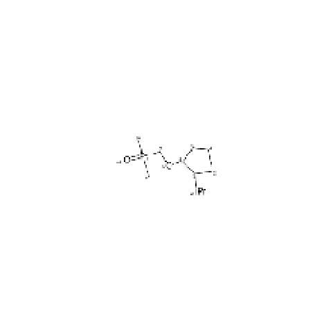 CC(C)C1CCCC1OCP(C)(C)=O